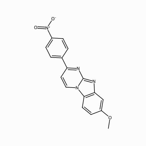 COc1ccc2c(c1)nc1nc(-c3ccc([N+](=O)[O-])cc3)ccn12